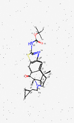 C[C@H]1[C@H]2C(=O)c3cc4sc(NC(=O)OC(C)(C)C)nc4cc3[C@]1(C)CCN2CC1CC1